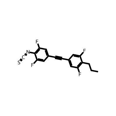 CCCc1c(F)cc(C#Cc2cc(F)c(N=C=S)c(F)c2)cc1F